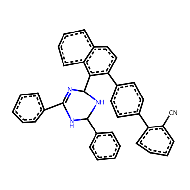 N#Cc1ccccc1-c1ccc(-c2ccc3ccccc3c2C2N=C(c3ccccc3)NC(c3ccccc3)N2)cc1